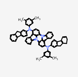 Cc1cc(C)cc(N(c2ccc3c(c2)CC2=C3C=CCC2)c2ccc3c4c2c2ccccc2n4c2ccc(N(c4cc(C)cc(C)c4)c4ccc5c(c4)Cc4ccccc4-5)c4c5ccccc5n3c42)c1